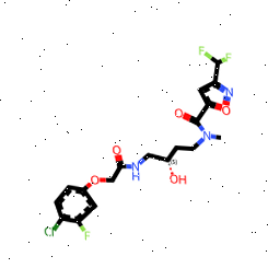 CN(CC[C@H](O)CNC(=O)COc1ccc(Cl)c(F)c1)C(=O)c1cc(C(F)F)no1